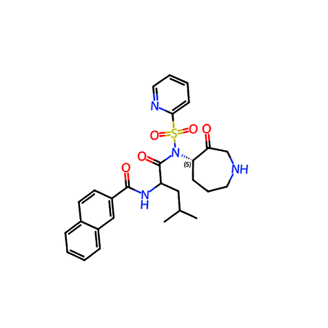 CC(C)CC(NC(=O)c1ccc2ccccc2c1)C(=O)N([C@H]1CCCNCC1=O)S(=O)(=O)c1ccccn1